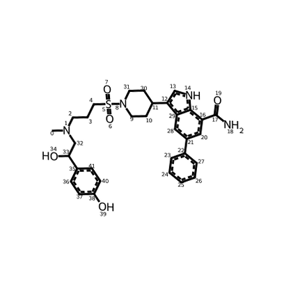 CN(CCCS(=O)(=O)N1CCC(c2c[nH]c3c(C(N)=O)cc(-c4ccccc4)cc23)CC1)CC(O)c1ccc(O)cc1